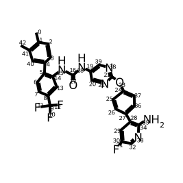 Cc1ccc(-c2ccc(C(F)(F)F)cc2NC(=O)Nc2cnc(Oc3ccc(-c4cc(F)cnc4N)cc3)nc2)cc1C